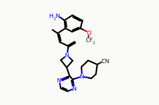 C=C(/C=C(/C)c1cc(OC(F)(F)F)ccc1N)N1CC(c2nccnc2N2CCC(C#N)CC2)C1